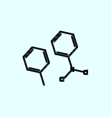 Cc1ccccc1.ClN(Cl)c1ccccc1